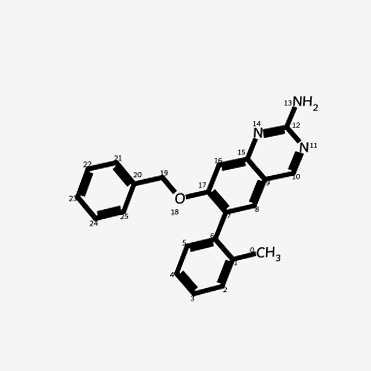 Cc1ccccc1-c1cc2cnc(N)nc2cc1OCc1ccccc1